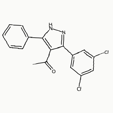 CC(=O)c1c(-c2cc(Cl)cc(Cl)c2)n[nH]c1-c1ccccc1